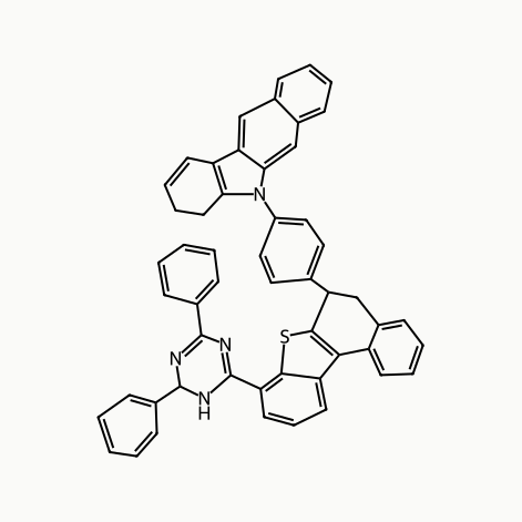 C1=Cc2c(n(-c3ccc(C4Cc5ccccc5-c5c4sc4c(C6=NC(c7ccccc7)=NC(c7ccccc7)N6)cccc54)cc3)c3cc4ccccc4cc23)CC1